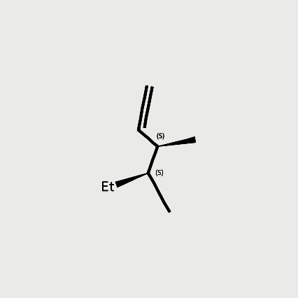 C=C[C@@H](C)[C@@H](C)CC